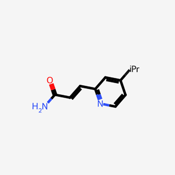 CC(C)c1ccnc(/C=C/C(N)=O)c1